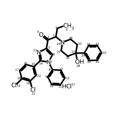 CCC(C(=O)c1cn(-c2ccccc2)c(-c2ccc(Cl)c(Cl)c2)n1)N1CCC(O)(c2ccccc2)CC1.Cl